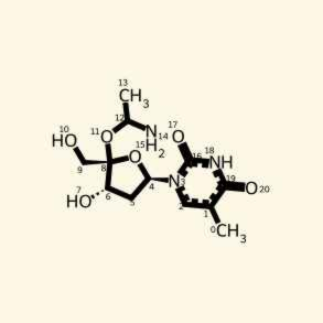 Cc1cn([C@H]2C[C@H](O)[C@](CO)(OC(C)N)O2)c(=O)[nH]c1=O